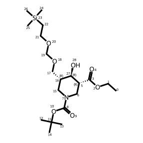 CCOC(=O)[C@@H]1CN(C(=O)OC(C)(C)C)C[C@H](COCOCC[Si](C)(C)C)[C@H]1O